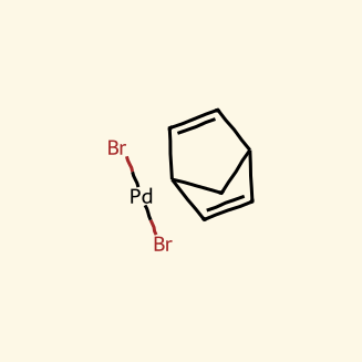 C1=CC2C=CC1C2.[Br][Pd][Br]